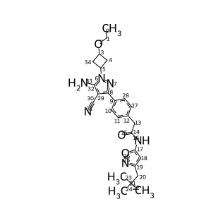 CCOC1CC(n2nc(-c3ccc(CC(=O)Nc4cc(CC(C)(C)C)no4)cc3)c(C#N)c2N)C1